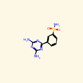 Nc1nc(N)nc(-c2cccc(S(N)(=O)=O)c2)n1